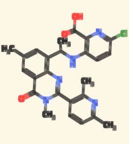 Cc1cc(C(C)Nc2ccc(Cl)nc2C(=O)O)c2nc(-c3ccc(C)nc3C)n(C)c(=O)c2c1